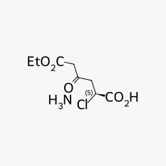 CCOC(=O)CC(=O)C[C@H](Cl)C(=O)O.N